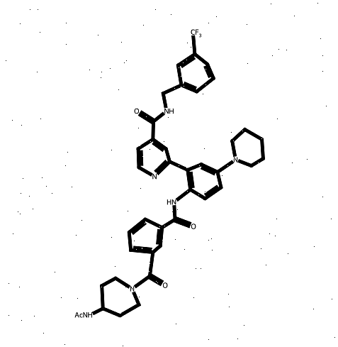 CC(=O)NC1CCN(C(=O)c2cccc(C(=O)Nc3ccc(N4CCCCC4)cc3-c3cc(C(=O)NCc4cccc(C(F)(F)F)c4)ccn3)c2)CC1